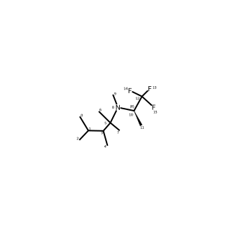 CC(C)C(C)C(C)(C)N(C)[C@H](C)C(F)(F)F